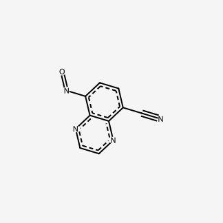 N#Cc1ccc(N=O)c2nccnc12